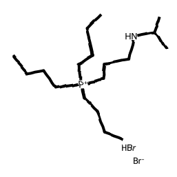 Br.CCCC[P+](CCCC)(CCCC)CCCNC(C)C.[Br-]